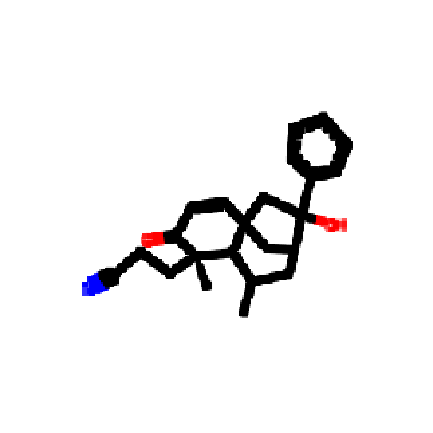 CC1CC2CC3(C=CC(=O)[C@@](C)(CCC#N)C13)CC2(O)c1ccccc1